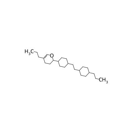 CCCC1=COC(C2CCC(CCC3CCC(CCC)CC3)CC2)CC1